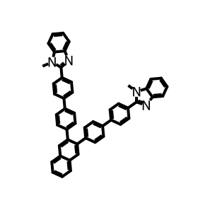 Cn1c(-c2ccc(-c3ccc(-c4cc5ccccc5cc4-c4ccc(-c5ccc(-c6nc7ccccc7n6C)cc5)cc4)cc3)cc2)nc2ccccc21